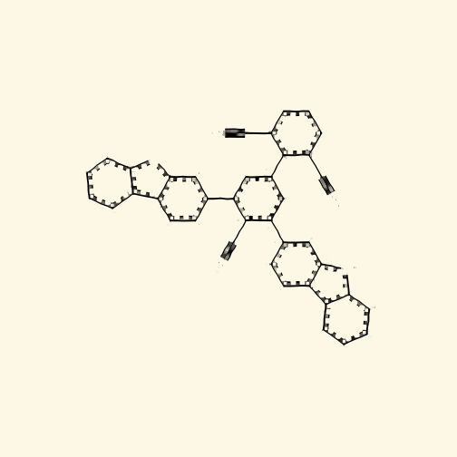 N#Cc1cccc(C#N)c1-c1cc(-c2ccc3c(c2)oc2ccccc23)c(C#N)c(-c2ccc3c(c2)oc2ccccc23)c1